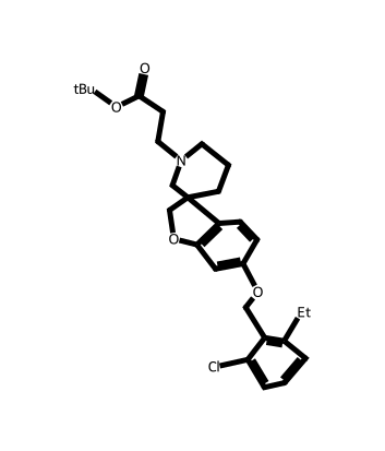 CCc1cccc(Cl)c1COc1ccc2c(c1)OCC21CCCN(CCC(=O)OC(C)(C)C)C1